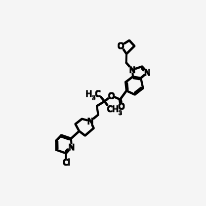 CC(C)(CCN1CCC(c2cccc(Cl)n2)CC1)OC(=O)c1ccc2ncn(CC3CCO3)c2c1